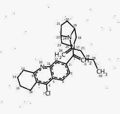 C=C(c1ccc2c(Cl)c3c(nc2c1)CCCC3)N1CC2CCC(C1)N2C(=C)CCCC